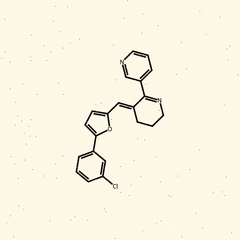 Clc1cccc(-c2ccc(C=C3CCCN=C3c3cccnc3)o2)c1